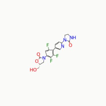 O=C1NCCN1c1ccc(-c2c(F)cc(N3C[C@H](CO)OC3=O)c(F)c2F)cn1